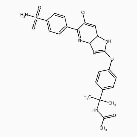 CC(=O)NC(C)(C)c1ccc(OC2=NC3N=C(c4ccc(S(N)(=O)=O)cc4)C(Cl)=CC3N2)cc1